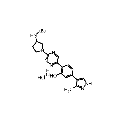 Cc1n[nH]cc1-c1ccc(-c2cnc(N3CCC(NC(C)(C)C)C3)nn2)c(O)c1.Cl.Cl